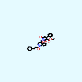 CCOC(=O)c1cn(CC2(O)CCN(C(=O)CCC3CCCCC3)CC23CCCC3)c(=O)cc1-c1ccccc1